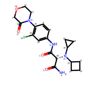 NC(=O)[C@H](C(=O)Nc1ccc(N2CCOCC2=O)c(F)c1)N(C1CCC1)C1CC1